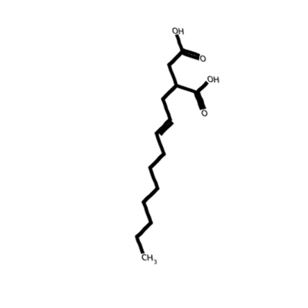 CCCCCCC/C=C/CC(CC(=O)O)C(=O)O